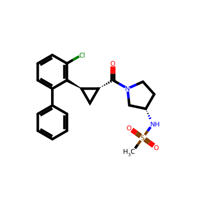 CS(=O)(=O)N[C@H]1CCN(C(=O)[C@@H]2C[C@H]2c2c(Cl)cccc2-c2ccccc2)C1